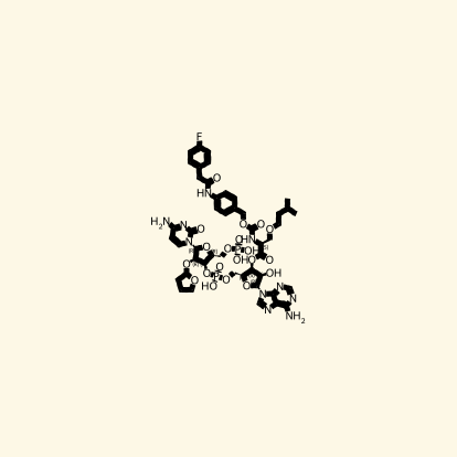 CC(C)CCOC[C@H](NC(=O)OCc1ccc(NC(=O)Cc2ccc(F)cc2)cc1)C(=O)O[C@H]1[C@@H](O)[C@H](n2cnc3c(N)ncnc32)O[C@@H]1COP(=O)(O)O[C@H]1[C@@H](OC2CCCO2)[C@H](n2ccc(N)nc2=O)O[C@@H]1COP(=O)(O)O